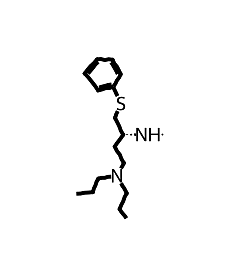 CCCN(CCC)CC[C@@H]([NH])CSc1ccccc1